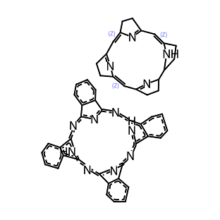 C1=C2/CCC(=N2)/C=C2/CCC(N2)C2CCC(=N2)/C=C2/CCC/1=N2.c1ccc2c(c1)-c1nc-2nc2[nH]c(nc3nc(nc4[nH]c(n1)c1ccccc41)-c1ccccc1-3)c1ccccc21